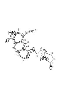 CC#Cc1c[nH]c(=O)c2cc3ccnc(OCC[C@@H]4CCC(=O)N4)c3cc12